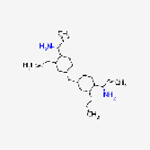 C=CCC1CC(CC2CCC(C(N)C=C)C(CC=C)C2)CCC1C(N)C=C